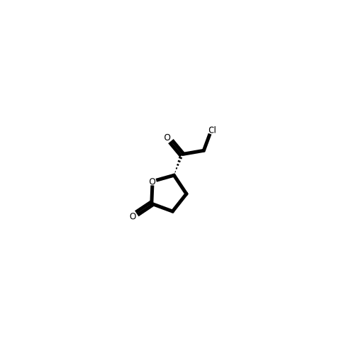 O=C1CC[C@@H](C(=O)CCl)O1